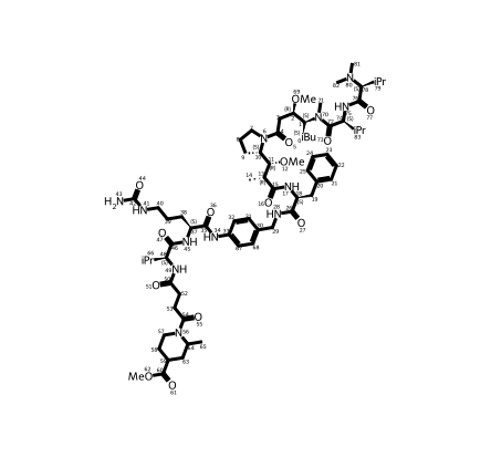 CC[C@H](C)[C@@H]([C@@H](CC(=O)N1CCC[C@H]1[C@H](OC)[C@@H](C)C(=O)N[C@@H](Cc1ccccc1)C(=O)NCc1ccc(NC(=O)[C@H](CCCNC(N)=O)NC(=O)[C@@H](NC(=O)CCC(=O)N2CCC(C(=O)OC)CC2C)C(C)C)cc1)OC)N(C)C(=O)[C@@H](NC(=O)[C@H](C(C)C)N(C)C)C(C)C